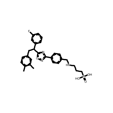 Cc1ccc(CC(c2cccc(F)c2)c2nc(-c3ccc(CNCCCP(=O)(O)O)cc3)no2)cc1C